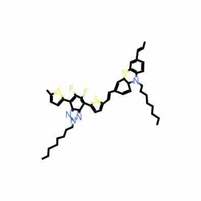 C/C=C/c1ccc2c(c1)SC1C=C(/C=C/c3ccc(-c4c(F)c(F)c(-c5ccc(C)s5)c5nn(CCCCCCCC)nc45)s3)C=CC1N2CCCCCCCC